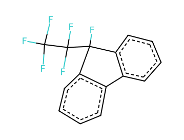 FC(F)(F)C(F)(F)C1(F)c2ccccc2-c2ccccc21